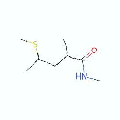 CNC(=O)C(C)CC(C)SC